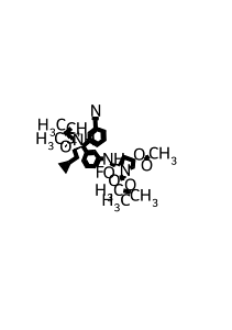 CC(=O)O[C@@H]1C[C@H](C(=O)Nc2cc([C@](CCC3CC3)(N[S@+]([O-])C(C)(C)C)c3cccc(C#N)c3)ccc2F)N(C(=O)OC(C)(C)C)C1